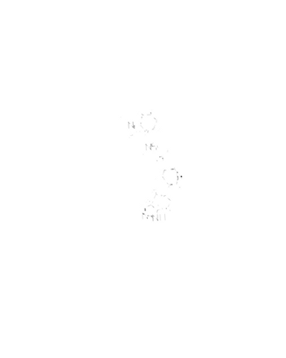 Cc1n[nH]c2ccc(-c3cncc(OC[C@@H](N)Cc4cccc(N(C)C)c4)c3)cc12